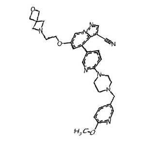 COc1ccc(CN2CCN(c3ccc(-c4cc(OCCN5CC6(COC6)C5)cn5ncc(C#N)c45)cn3)CC2)cn1